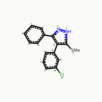 CSc1[nH]nc(-c2ccccc2)c1-c1cccc(Cl)c1